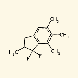 Cc1cc2c(c(C)c1C)C(F)(F)C(C)C2